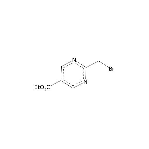 CCOC(=O)c1cnc(CBr)nc1